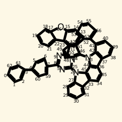 c1ccc(-c2ccc(-c3nc(-c4cccc5oc6ccccc6c45)nc(-n4c5ccccc5c5ccc6c7cccc8c7n(c6c54)-c4ccccc4-c4ccccc4-8)n3)cc2)cc1